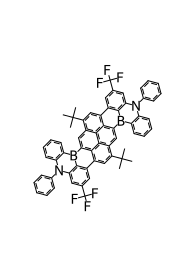 CC(C)(C)c1cc2c3c(cc4c(C(C)(C)C)cc5c6c(cc1c3c46)B1c3ccccc3N(c3ccccc3)c3cc(C(F)(F)F)cc-5c31)B1c3ccccc3N(c3ccccc3)c3cc(C(F)(F)F)cc-2c31